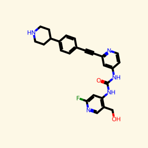 O=C(Nc1ccnc(C#Cc2ccc(C3CCNCC3)cc2)c1)Nc1cc(F)ncc1CO